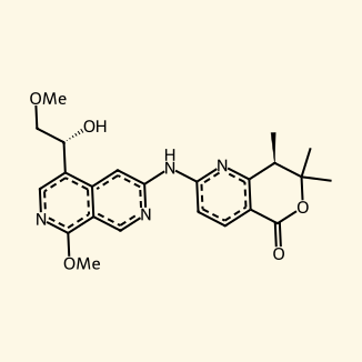 COC[C@H](O)c1cnc(OC)c2cnc(Nc3ccc4c(n3)[C@@H](C)C(C)(C)OC4=O)cc12